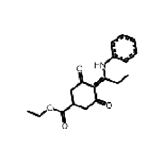 CCOC(=O)C1CC(=O)C(=C(CC)Nc2ccccc2)C(=O)C1